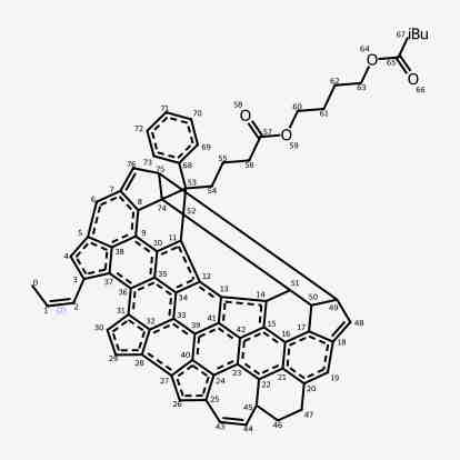 C/C=C\c1cc2cc3c4c5c6c7c8c9c%10c%11c%12c%13c(cc%14c%12c%12c%15c%16c(cc%17c%18ccc%19c%18c(c8c6c%19c1c25)c(c%17%16)c9c%11%15)C=CC%12CC%14)=CC1C%13C%10C72C(CCCC(=O)OCCCCOC(=O)C(C)CC)(c5ccccc5)C42C1C=3